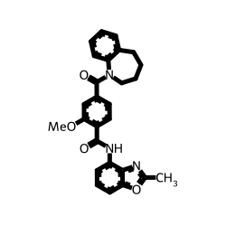 COc1cc(C(=O)N2CCCCc3ccccc32)ccc1C(=O)Nc1cccc2oc(C)nc12